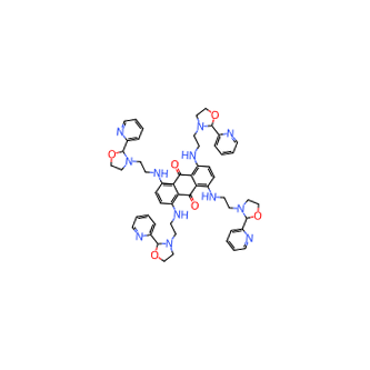 O=C1c2c(NCCN3CCOC3c3ccccn3)ccc(NCCN3CCOC3c3ccccn3)c2C(=O)c2c(NCCN3CCOC3c3ccccn3)ccc(NCCN3CCOC3c3ccccn3)c21